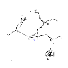 CB(O)/C(=C/C(C)=N)N(C)C